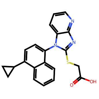 O=C(O)CSc1nc2ncccc2n1-c1ccc(C2CC2)c2ccccc12